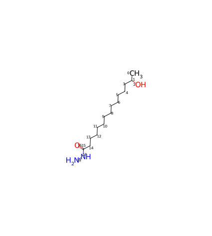 CC(O)CCCCCCCCCCCCC(=O)NN